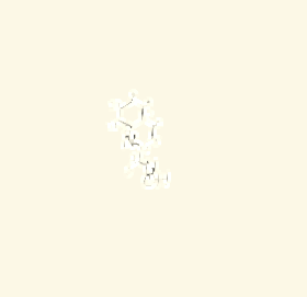 CC(=NO)c1ccc2ccccc2n1